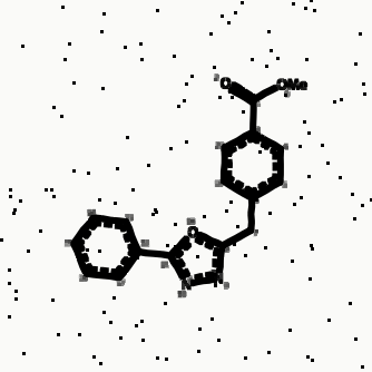 COC(=O)c1ccc(Cc2nnc(-c3ccccc3)o2)cc1